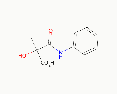 CC(O)(C(=O)O)C(=O)Nc1ccccc1